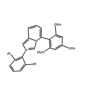 COc1cc(OC)c(-c2cccc3c[n+](-c4c(C(C)C)cccc4C(C)C)cn23)c(OC)c1